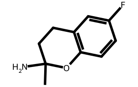 CC1(N)CCc2cc(F)ccc2O1